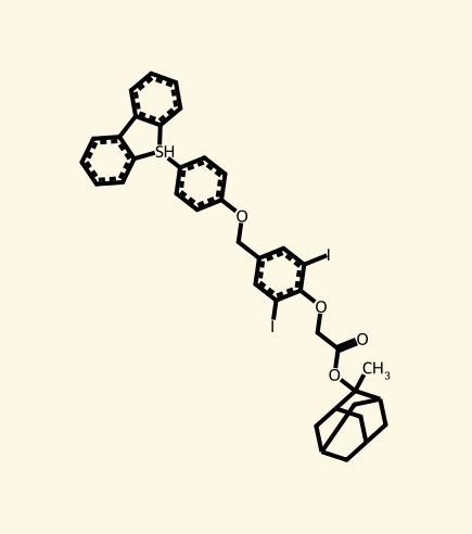 CC1(OC(=O)COc2c(I)cc(COc3ccc([SH]4c5ccccc5-c5ccccc54)cc3)cc2I)C2CC3CC(C2)CC1C3